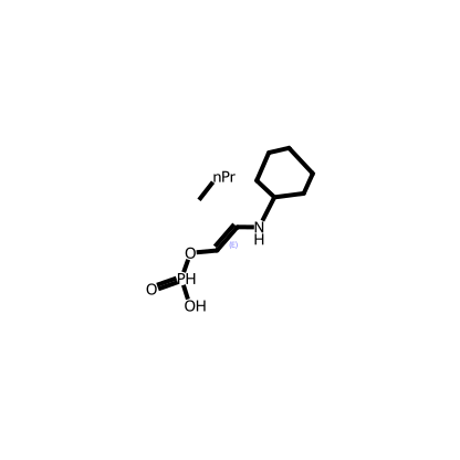 CCCC.O=[PH](O)O/C=C/NC1CCCCC1